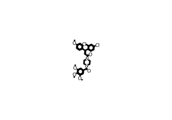 COc1ccc(C(=CC(=O)N2CCN(C(=O)c3cc(OC)c(OC)c(OC)c3)CC2)c2ccc(Cl)cc2Cl)cc1